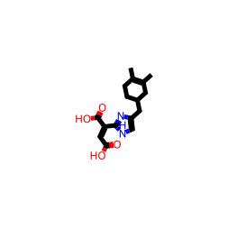 CC1=C(C)CC(Cc2c[nH]c(/C(=C\C(=O)O)C(=O)O)n2)CC1